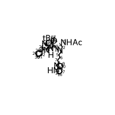 CC(=O)NCCN(CCCCc1ccc2c(n1)NCCC2)CCC(Nc1cncc(-c2ccccc2)n1)C(=O)OC(C)(C)C